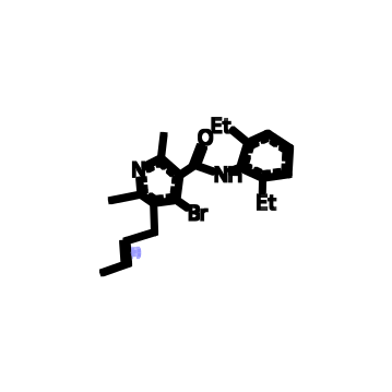 C/C=C/Cc1c(C)nc(C)c(C(=O)Nc2c(CC)cccc2CC)c1Br